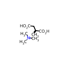 C=C(CC(=O)O)C(=O)O.CN(C)C